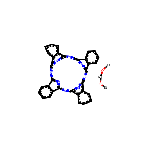 CC[O][Ru][O]CC.c1ccc2c(c1)-c1nc-2nc2[nH]c(nc3nc(nc4[nH]c(n1)c1ccccc41)-c1ccccc1-3)c1ccccc21